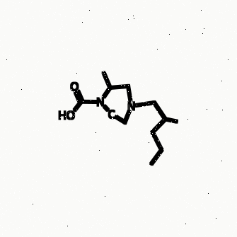 CCCC(C)CN1CCN(C(=O)O)C(C)C1